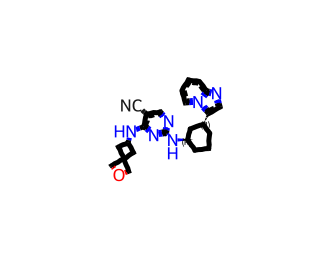 N#Cc1cnc(N[C@@H]2CCC[C@@H](c3cnc4ccccn34)C2)nc1NC1CC2(COC2)C1